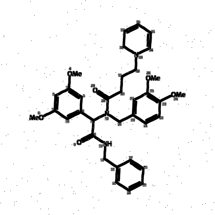 COc1cc(OC)cc(C(C(=O)NCc2ccccc2)N(Cc2ccc(OC)c(OC)c2)C(=O)CCCN2C=CC=CC2)c1